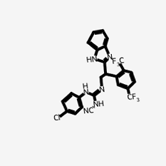 N#CNC(=NCC(c1nc2ccccc2[nH]1)c1cc(C(F)(F)F)ccc1C(F)(F)F)Nc1ccc(Cl)cc1